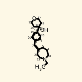 CCN1CCC/C(=C\c2ccc(C3(O)CCOCC3)cc2)CC1